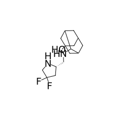 OC12CC3CC(C1)C(NC[C@@H]1CC(F)(F)CN1)C(C3)C2